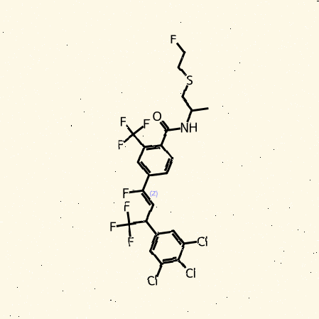 CC(CSCCF)NC(=O)c1ccc(/C(F)=C/C(c2cc(Cl)c(Cl)c(Cl)c2)C(F)(F)F)cc1C(F)(F)F